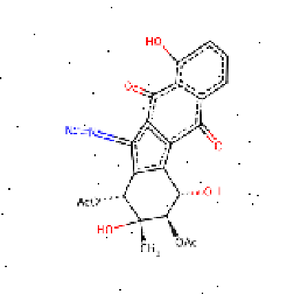 CC(=O)O[C@@H]1c2c(c3c(=O)c4cccc(O)c4c(=O)c=3c2=[N+]=[N-])[C@H](O)[C@@H](OC(C)=O)[C@]1(C)O